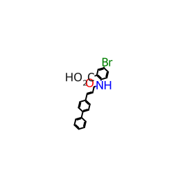 O=C(C=Cc1ccc(-c2ccccc2)cc1)Nc1ccc(Br)cc1C(=O)O